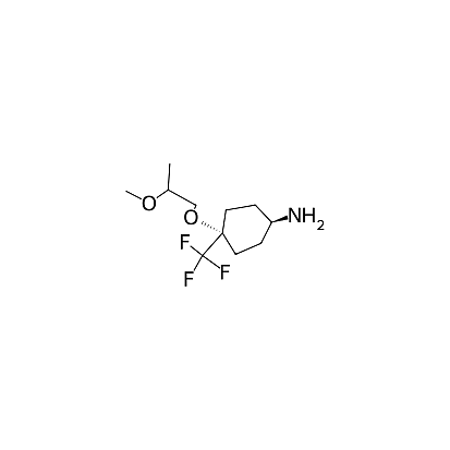 COC(C)CO[C@]1(C(F)(F)F)CC[C@@H](N)CC1